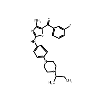 CCC(C)N1CCN(c2ccc(Nc3nc(N)c(C(=O)c4cccc(F)c4)s3)cc2)CC1